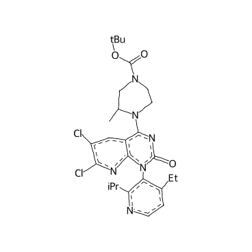 CCc1ccnc(C(C)C)c1-n1c(=O)nc(N2CCN(C(=O)OC(C)(C)C)CC2C)c2cc(Cl)c(Cl)nc21